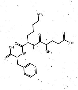 NCCCC[C@@H](NC(=O)[C@H](N)CCC(=O)O)C(=O)N[C@@H](Cc1ccccc1)C(=O)O